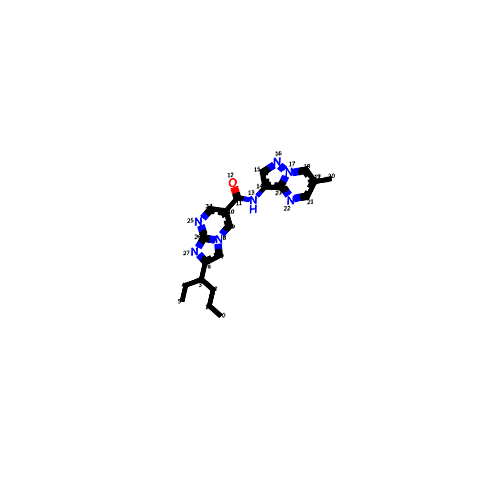 CCCC(CC)c1cn2cc(C(=O)Nc3cnn4cc(C)cnc34)cnc2n1